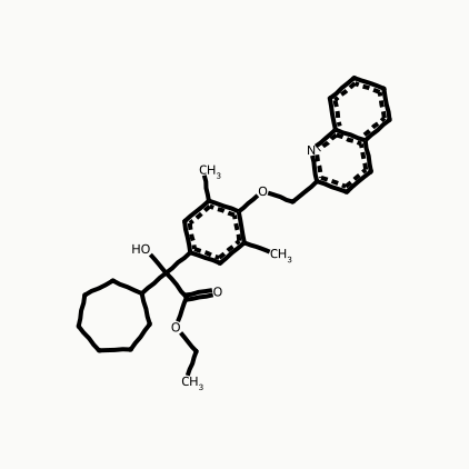 CCOC(=O)C(O)(c1cc(C)c(OCc2ccc3ccccc3n2)c(C)c1)C1CCCCCC1